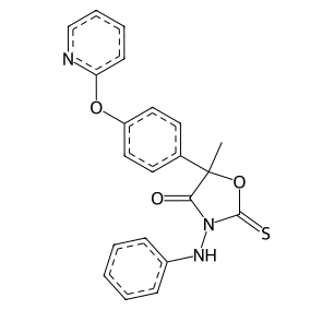 CC1(c2ccc(Oc3ccccn3)cc2)OC(=S)N(Nc2ccccc2)C1=O